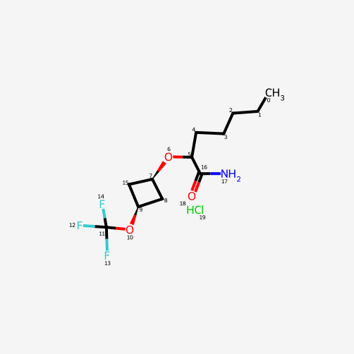 CCCCCC(O[C@H]1C[C@@H](OC(F)(F)F)C1)C(N)=O.Cl